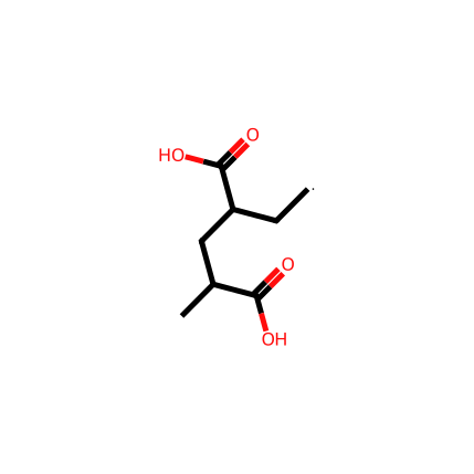 [CH2]CC(CC(C)C(=O)O)C(=O)O